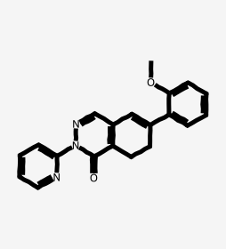 COc1ccccc1C1=Cc2cnn(-c3ccccn3)c(=O)c2CC1